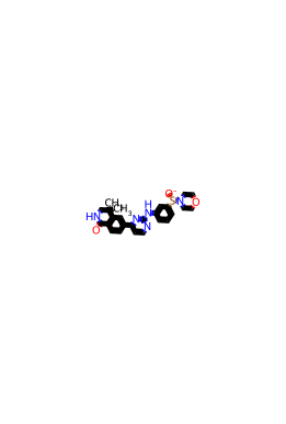 CC1(C)CNC(=O)c2ccc(-c3ccnc(Nc4cccc([S+]([O-])N5CCOCC5)c4)n3)cc21